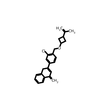 C=C1C=C(c2ccc(COC3CC(C(=C)C)C3)c(Cl)c2)Cc2ccccc21